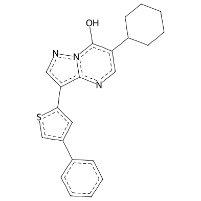 Oc1c(C2CCCCC2)cnc2c(-c3cc(-c4ccccc4)cs3)cnn12